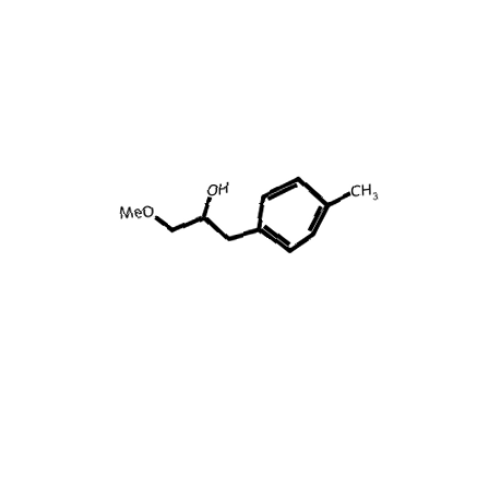 COCC(O)Cc1ccc(C)cc1